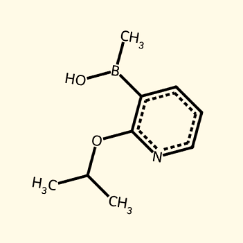 CB(O)c1cccnc1OC(C)C